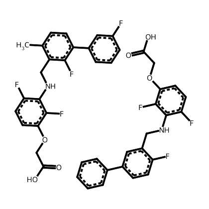 Cc1ccc(-c2cccc(F)c2)c(F)c1CNc1c(F)ccc(OCC(=O)O)c1F.O=C(O)COc1ccc(F)c(NCc2cc(-c3ccccc3)ccc2F)c1F